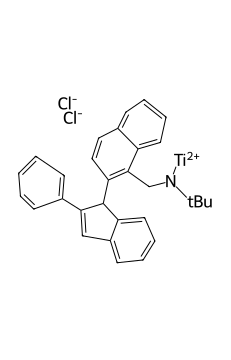 CC(C)(C)[N]([Ti+2])Cc1c(C2C(c3ccccc3)=Cc3ccccc32)ccc2ccccc12.[Cl-].[Cl-]